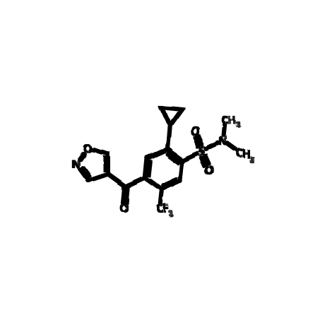 CN(C)S(=O)(=O)c1cc(C(F)(F)F)c(C(=O)c2cnoc2)cc1C1CC1